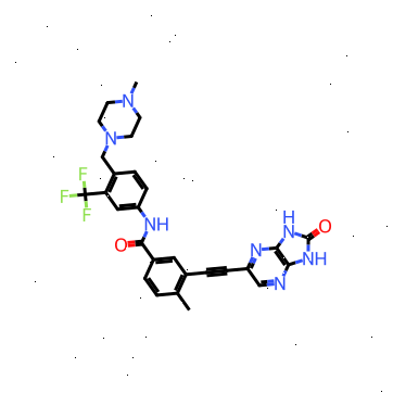 Cc1ccc(C(=O)Nc2ccc(CN3CCN(C)CC3)c(C(F)(F)F)c2)cc1C#Cc1cnc2[nH]c(=O)[nH]c2n1